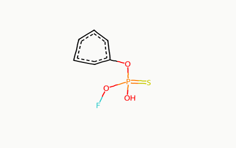 OP(=S)(OF)Oc1ccccc1